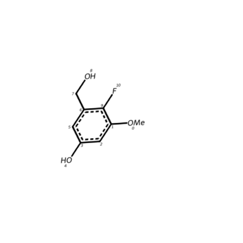 COc1cc(O)cc(CO)c1F